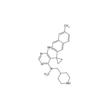 Cc1ccc2cc(C3(c4c(N)ncnc4N(C)CC4CCNCC4)CC3)ccc2c1